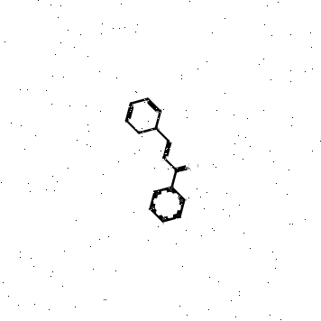 O=C(C=CC1C=CC=CC1)c1ccccc1